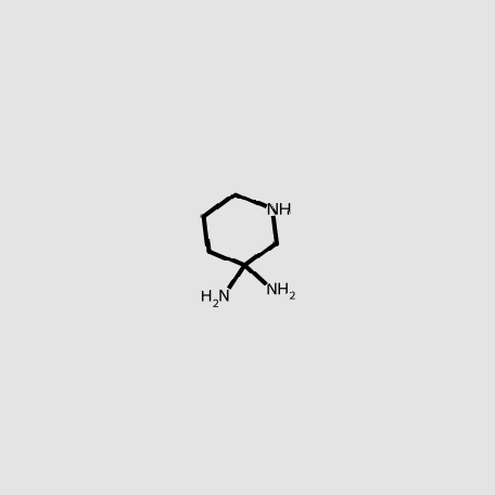 NC1(N)CCCNC1